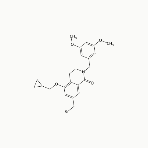 COc1cc(CN2CCc3c(OCC4CC4)cc(CBr)cc3C2=O)cc(OC)c1